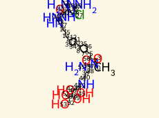 CN(C(=O)CCc1ccc(-c2ccc(CCCCNC(=N)NC(=O)c3nc(Cl)c(N)nc3N)cc2)cc1)C(CCCCNCC(O)C(O)C(O)C(O)CO)C(N)=O